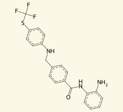 Nc1ccccc1NC(=O)c1ccc(CNc2ccc(SC(F)(F)F)cc2)cc1